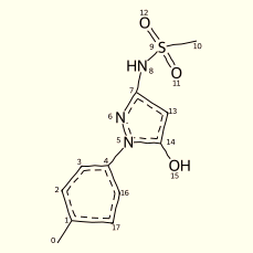 Cc1ccc(-n2nc(NS(C)(=O)=O)cc2O)cc1